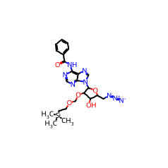 C[Si](C)(C)CCOCOC1C(O)C(CN=[N+]=[N-])OC1n1cnc2c(NC(=O)c3ccccc3)ncnc21